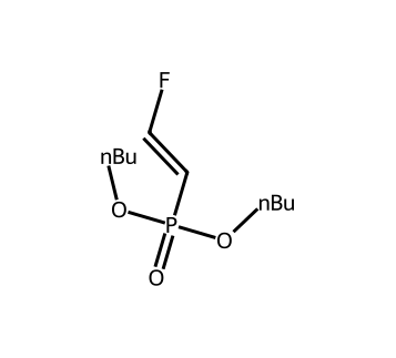 CCCCOP(=O)(C=CF)OCCCC